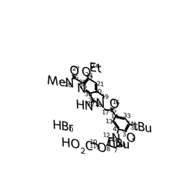 Br.CCCCOc1c(N2CCC(OCC(=O)O)C2)cc(C(=O)CN2Cc3cc(OCC)c(C(=O)NC)nc3C2=N)cc1C(C)(C)C